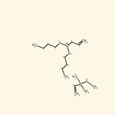 C=CC[SiH](OCCCC)OCCCC.C=C[Si](C)(C)OC